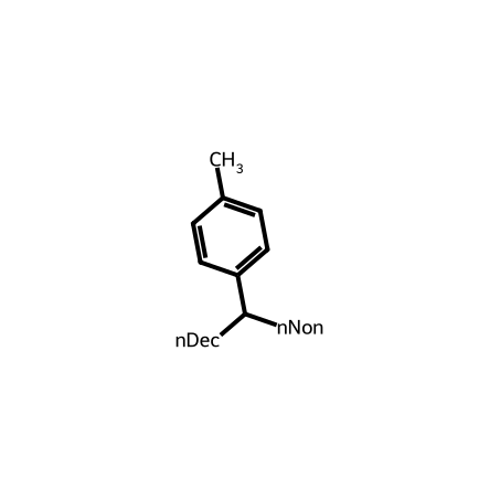 CCCCCCCCCCC(CCCCCCCCC)c1ccc(C)cc1